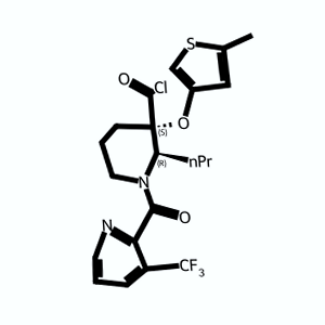 CCC[C@H]1N(C(=O)c2ncccc2C(F)(F)F)CCC[C@@]1(Oc1csc(C)c1)C(=O)Cl